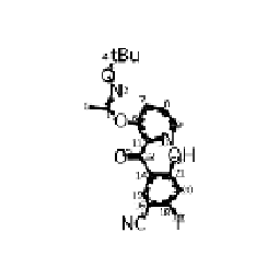 CC(=NOC(C)(C)C)Oc1cccnc1C(=O)c1cc(C#N)c(F)cc1O